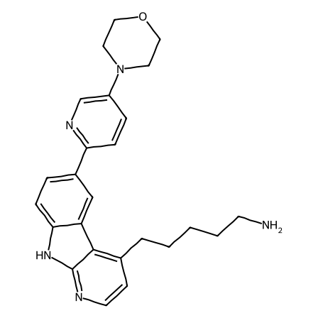 NCCCCCc1ccnc2[nH]c3ccc(-c4ccc(N5CCOCC5)cn4)cc3c12